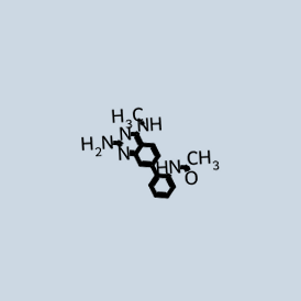 CNc1nc(N)nc2cc(-c3ccccc3NC(C)=O)ccc12